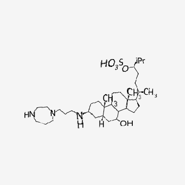 CC(C)[C@@H](CC[C@@H](C)[C@H]1CCC2C3C(CC[C@@]21C)[C@@]1(C)CC[C@H](NCCCN2CCCNCC2)C[C@H]1C[C@@H]3O)OS(=O)(=O)O